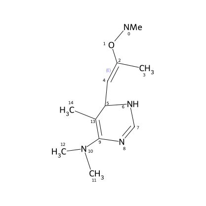 CNO/C(C)=C/C1NC=NC(N(C)C)=C1C